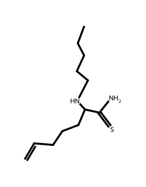 C=CCCCC(NCCCCC)C(N)=S